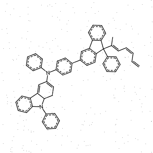 C=C/C=C\C=C(/C)C1(c2ccccc2)c2ccccc2-c2cc(-c3ccc(N(C4=CCC5C(=C4)c4ccccc4N5c4ccccc4)c4ccccc4)cc3)ccc21